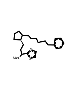 COC(CC[C@H]1CCCC1CCCCCCc1ccccc1)c1nccs1